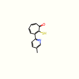 Cc1ccc(-c2ccccc(=O)c2S)nc1